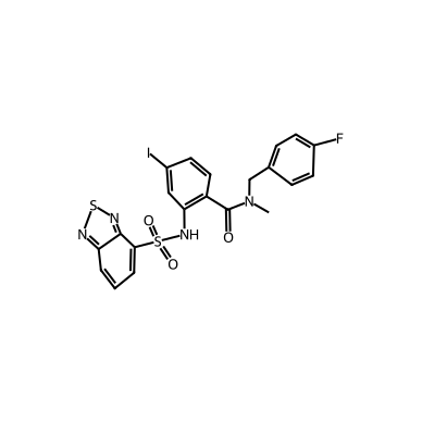 CN(Cc1ccc(F)cc1)C(=O)c1ccc(I)cc1NS(=O)(=O)c1cccc2nsnc12